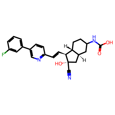 N#C[C@]1(O)C[C@@H]2CC(NC(=O)O)CC[C@H]2[C@@H]1/C=C/c1ccc(-c2cccc(F)c2)cn1